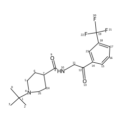 CC(C)(C)N1CCC(C(=O)NCC(=O)c2cccc(C(F)(F)F)c2)CC1